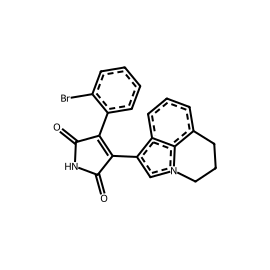 O=C1NC(=O)C(c2cn3c4c(cccc24)CCC3)=C1c1ccccc1Br